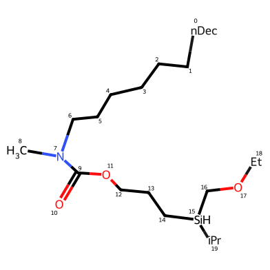 CCCCCCCCCCCCCCCCN(C)C(=O)OCCC[SiH](COCC)C(C)C